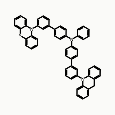 c1ccc(N(c2ccc(-c3cccc(N4c5ccccc5Cc5ccccc54)c3)cc2)c2ccc(-c3cccc(N4c5ccccc5Sc5ccccc54)c3)cc2)cc1